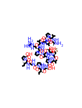 CC[C@H](C)[C@H](NC(=O)CNC(=O)[C@@H]1CCCN1C(=O)[C@@H](NC(=O)[C@H](CO)NC(=O)[C@@H]1CCCN1C(=O)[C@@H](NC(=O)[C@H](CCSC)NC(=O)[C@@H](NC(=O)[C@@H](NC(=O)[C@@H]1CCCN1C(=O)[C@H](CCCNC(=N)N)NC(=O)[C@@H](NC(=O)[C@H](CC(C)C)NC(=O)[C@@H]1CCCN1C(=O)[C@@H](NC(=O)[C@H](C)N)C(C)C)C(C)C)C(C)C)[C@@H](C)O)C(C)C)[C@@H](C)CC)C(=O)N1CCC[C@H]1C(=O)O